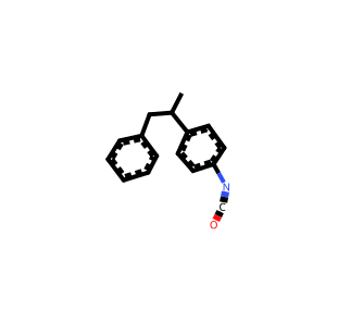 CC(Cc1ccccc1)c1ccc(N=C=O)cc1